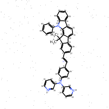 CC1(C)c2cc(/C=C/c3ccc(N(c4cccnc4)c4cccnc4)cc3)ccc2-c2ccc3c4ccccc4n(-c4ccccc4)c3c21